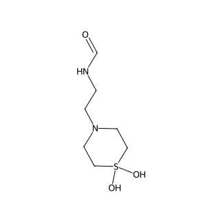 O=CNCCN1CCS(O)(O)CC1